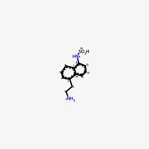 NCCc1cccc2c(NS(=O)(=O)O)cccc12